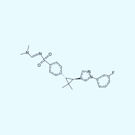 CN(C)/C=N/S(=O)(=O)c1ccc([C@@H]2[C@@H](c3cnn(-c4cccc(F)c4)c3)C2(C)C)cc1